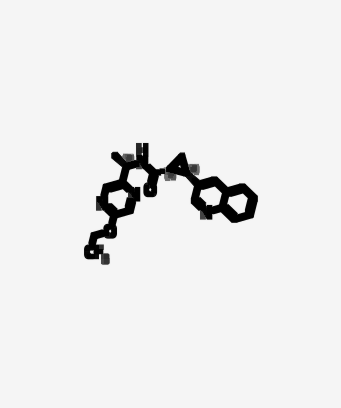 C[C@@H](NC(=O)[C@@H]1C[C@H]1c1cnc2ccccc2c1)c1cnc(OCC(F)(F)F)cn1